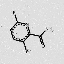 CC(C)c1ccc(F)nc1C(N)=O